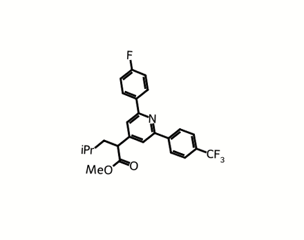 COC(=O)C(CC(C)C)c1cc(-c2ccc(F)cc2)nc(-c2ccc(C(F)(F)F)cc2)c1